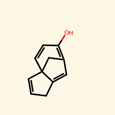 OC1=C2C=C3CC=CC3(C=C1)C2